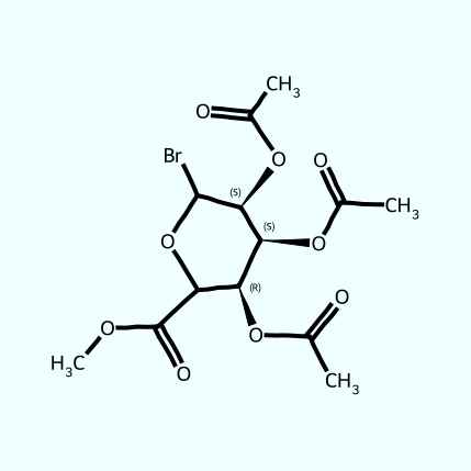 COC(=O)C1OC(Br)[C@@H](OC(C)=O)[C@@H](OC(C)=O)[C@H]1OC(C)=O